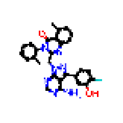 Cc1ccccc1-n1c(Cn2nc(-c3ccc(F)c(O)c3)c3c(N)ncnc32)nc2cccc(C)c2c1=O